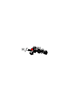 CC#CC(=O)N1CCCC1c1cc(-c2ccc(C(=O)Nc3ccccn3)cc2)n2c(N)nccc12